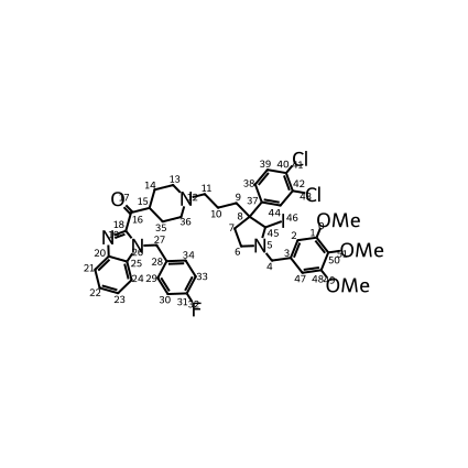 COc1cc(CN2CCC(CCCN3CCC(C(=O)c4nc5ccccc5n4Cc4ccc(F)cc4)CC3)(c3ccc(Cl)c(Cl)c3)C2I)cc(OC)c1OC